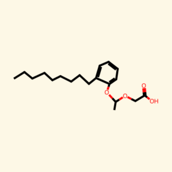 CCCCCCCCCc1ccccc1OC(C)OCC(=O)O